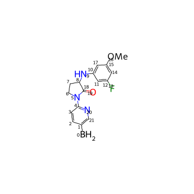 Bc1ccc(N2CCC(Nc3cc(F)cc(OC)c3)C2=O)nc1